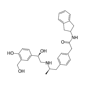 C[C@H](Cc1ccc(CC(=O)NC2Cc3ccccc3C2)cc1)NC[C@H](O)c1ccc(O)c(CO)c1